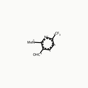 CNc1nc(C(F)(F)F)ccc1C=O